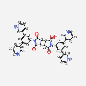 O=C1C2C(C(=O)N1c1cc(-c3cccnc3)cc(-c3cccnc3)c1)C1C2C(=O)N(c2cc(-c3cccnc3)cc(-c3cccnc3)c2)[C@H]1O